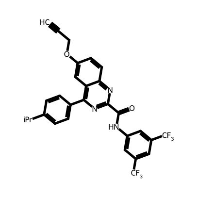 C#CCOc1ccc2nc(C(=O)Nc3cc(C(F)(F)F)cc(C(F)(F)F)c3)nc(-c3ccc(C(C)C)cc3)c2c1